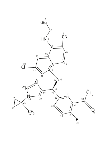 CC(C)(C)CNc1c(C#N)cnc2c(N[C@@H](c3ccc(F)c(C(N)=O)c3)c3cn(C4(C(F)(F)F)CC4)nn3)cc(Cl)cc12